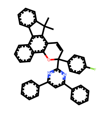 CC1(C)c2ccccc2-c2c1c1c(c3ccccc23)OC(c2ccc(F)cc2)(c2nc(-c3ccccc3)cc(-c3ccccc3)n2)C=C1